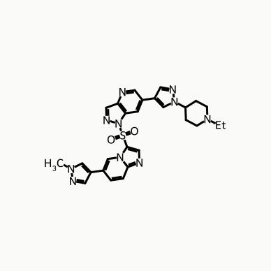 CCN1CCC(n2cc(-c3cnc4cnn(S(=O)(=O)c5cnc6ccc(-c7cnn(C)c7)cn56)c4c3)cn2)CC1